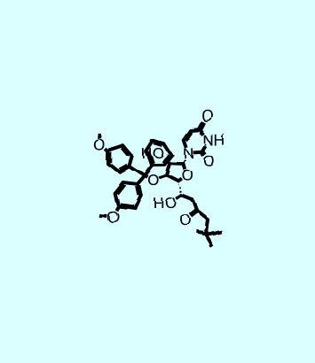 COc1ccc(C(OC2C(O)[C@H](n3ccc(=O)[nH]c3=O)O[C@@H]2C(O)CC(=O)CC(C)(C)C)(c2ccccc2)c2ccc(OC)cc2)cc1